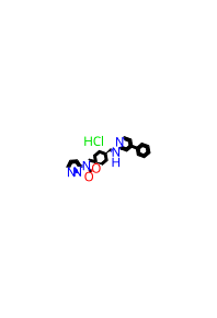 Cl.O=C1O[C@]2(CC[C@H](CNc3cc(-c4ccccc4)ccn3)CC2)CN1c1cccnn1